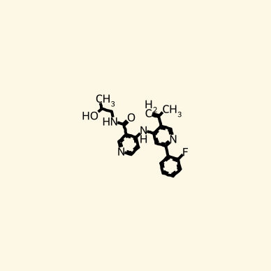 C=C(C)c1cnc(-c2ccccc2F)cc1Nc1ccncc1C(=O)NCC(C)O